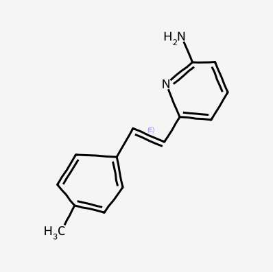 Cc1ccc(/C=C/c2cccc(N)n2)cc1